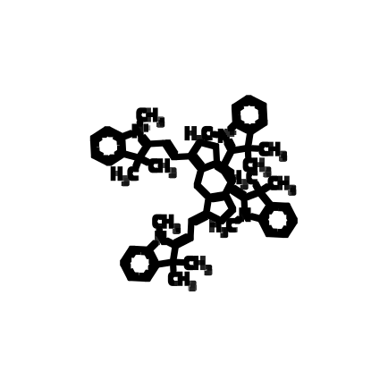 CN1C(=CC=C2CCC(C=CC3=[N+](C)c4ccccc4C3(C)C)=C2CC2=C(C=CC3=[N+](C)c4ccccc4C3(C)C)CCC2=CC=C2N(C)c3ccccc3C2(C)C)C(C)(C)c2ccccc21